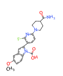 COc1ccc2c(c1)cc(-c1ccc(N3CCC(C(N)=O)CC3)nc1F)n2C(=O)O